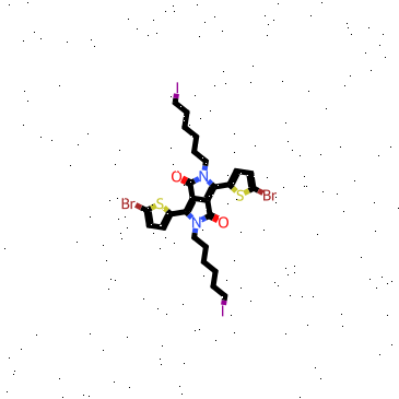 O=C1C2=C(c3ccc(Br)s3)N(CCCCCCI)C(=O)C2=C(c2ccc(Br)s2)N1CCCCCCI